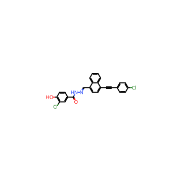 O=C(N/N=C/c1ccc(C#Cc2ccc(Cl)cc2)c2ccccc12)c1ccc(O)c(Cl)c1